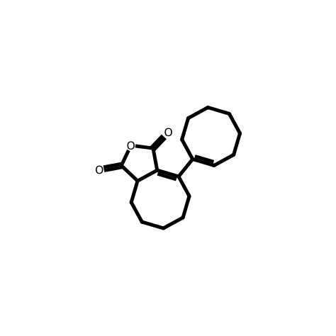 O=C1OC(=O)C2CCCCCC(/C3=C/CCCCCC3)=C/12